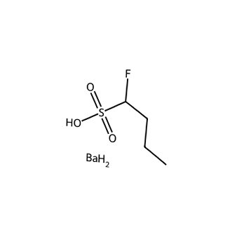 CCCC(F)S(=O)(=O)O.[BaH2]